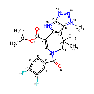 CC(C)OC(=O)C1=CN(C(=O)c2ccc(F)c(F)c2)CC(C)(C)c2c1[nH]c1nnn(C)c21